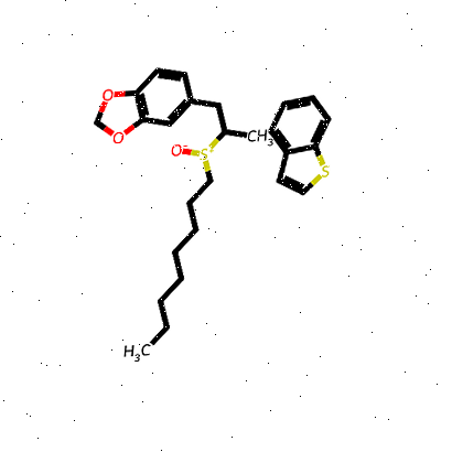 CCCCCCCC[S+]([O-])C(C)Cc1ccc2c(c1)OCO2.c1ccc2sccc2c1